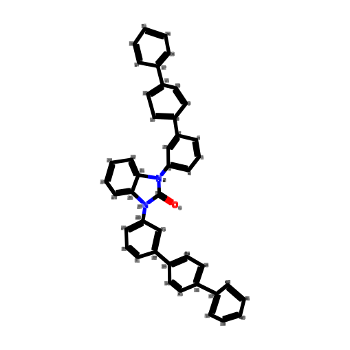 O=c1n(-c2cccc(-c3ccc(-c4ccccc4)cc3)c2)c2ccccc2n1-c1cccc(-c2ccc(-c3ccccc3)cc2)c1